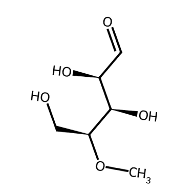 CO[C@@H](CO)[C@H](O)[C@@H](O)C=O